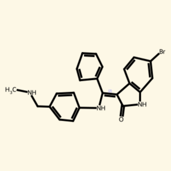 CNCc1ccc(N/C(=C2\C(=O)Nc3cc(Br)ccc32)c2ccccc2)cc1